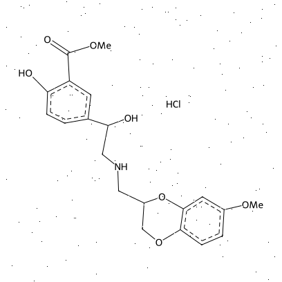 COC(=O)c1cc(C(O)CNCC2COc3ccc(OC)cc3O2)ccc1O.Cl